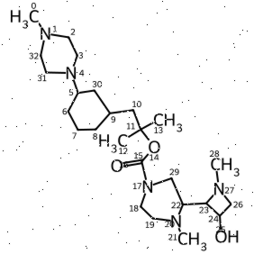 CN1CCN(C2CCCC(CC(C)(C)OC(=O)N3CCN(C)C(C4C(O)CN4C)C3)C2)CC1